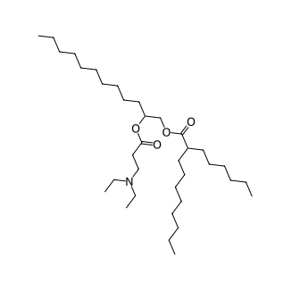 CCCCCCCCCCC(COC(=O)C(CCCCCC)CCCCCCCC)OC(=O)CCN(CC)CC